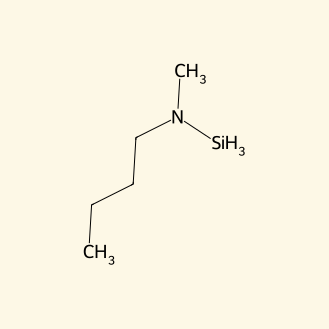 CCCCN(C)[SiH3]